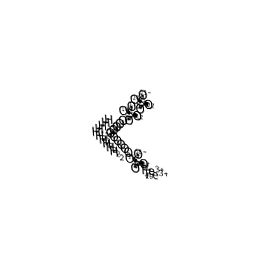 O.O.O.O.O.O.O.O.O.O.O=S(=O)([O-])[O-].O=S(=O)([O-])[O-].O=S(=O)([O-])[O-].[Fe+3].[Fe+3]